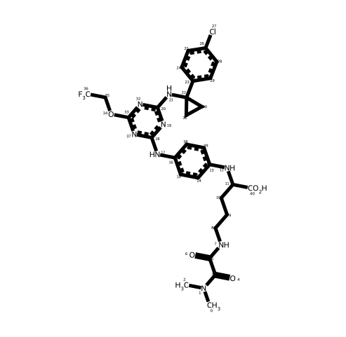 CN(C)C(=O)C(=O)NCCCC(Nc1ccc(Nc2nc(NC3(c4ccc(Cl)cc4)CC3)nc(OCC(F)(F)F)n2)cc1)C(=O)O